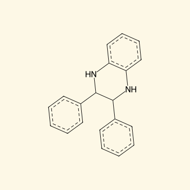 c1ccc(C2Nc3ccccc3NC2c2ccccc2)cc1